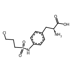 N[C@@H](Cc1ccc(NS(=O)(=O)CCCCl)cc1)C(=O)O